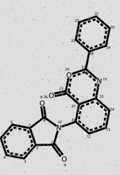 O=C1c2ccccc2C(=O)N1c1cccc2nc(-c3ccccc3)oc(=O)c12